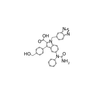 NC(=O)N(c1ccccc1)c1ccc2c(c1)c(-c1ccc(CO)cc1)c(C(=O)O)n2Cc1ccc2nsnc2c1